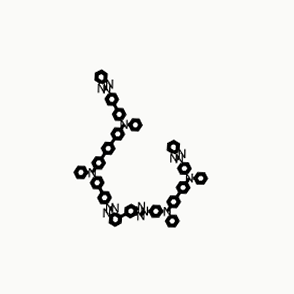 c1ccc(N(c2ccc(-c3ccc(-c4ccc(N(c5ccccc5)c5ccc(-c6ccc(-n7nc8cccc(-c9ccc%10nn(-c%11ccc(N(c%12ccccc%12)c%12ccc(-c%13ccc(N(c%14ccccc%14)c%14ccc(-n%15nc%16ccccc%16n%15)cc%14)cc%13)cc%12)cc%11)nc%10c9)c8n7)cc6)cc5)cc4)cc3)cc2)c2ccc(-c3ccc(-n4nc5ccccc5n4)cc3)cc2)cc1